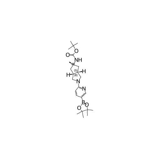 CC(C)(C)OC(=O)N[C@@]1(C)C[C@H]2CN(c3ccc(B4OC(C)(C)C(C)(C)O4)cn3)C[C@H]2C1